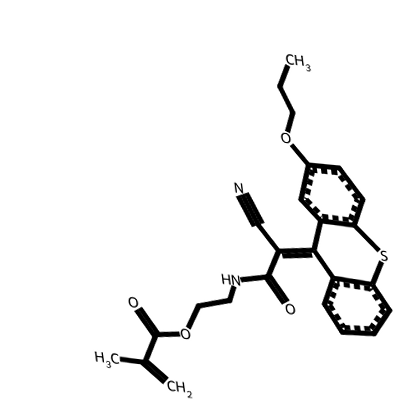 C=C(C)C(=O)OCCNC(=O)/C(C#N)=C1\c2ccccc2Sc2ccc(OCCC)cc21